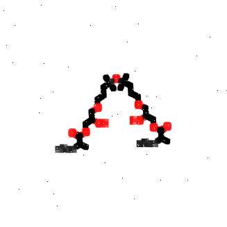 CCCCCCCCCC(C)C(=O)OCC(O)COCCC[Si](C)(C)O[Si](C)(C)CCCOCC(O)COC(=O)C(C)CCCCCCCCC